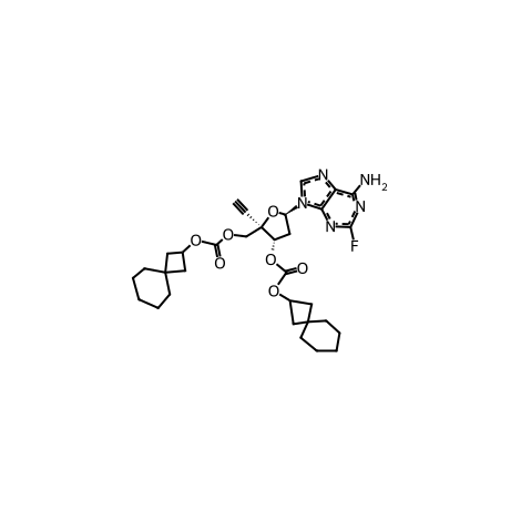 C#C[C@]1(COC(=O)OC2CC3(CCCCC3)C2)O[C@@H](n2cnc3c(N)nc(F)nc32)C[C@@H]1OC(=O)OC1CC2(CCCCC2)C1